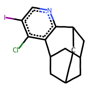 Clc1c(I)cnc2c1C1CC3CC(CC2C3)C1